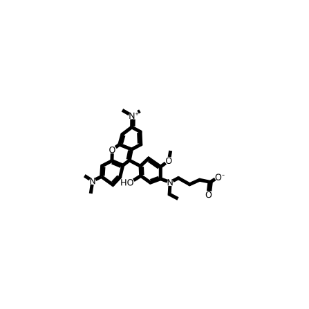 CCN(CCCC(=O)[O-])c1cc(O)c(-c2c3ccc(=[N+](C)C)cc-3oc3cc(N(C)C)ccc23)cc1OC